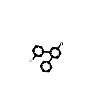 Clc1ccc(-c2ccccc2)c(-c2cccc(Br)c2)c1